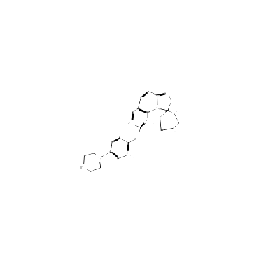 C1=Cc2cnc(Nc3ccc(N4CCNCC4)cn3)nc2N2C1=NCC21CCCCC1